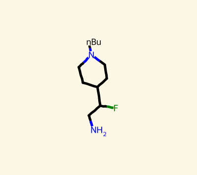 CCCCN1CCC(C(F)CN)CC1